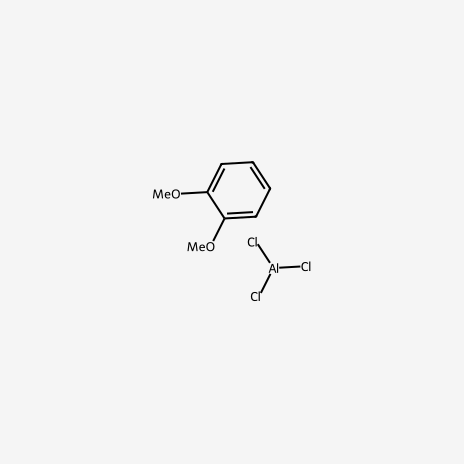 COc1ccccc1OC.[Cl][Al]([Cl])[Cl]